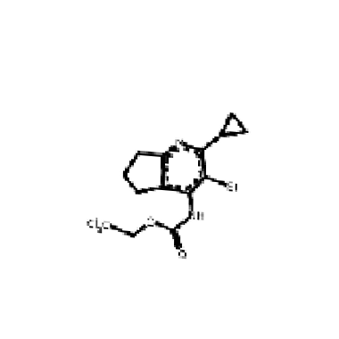 CCc1c(C2CC2)nc2c(c1NC(=O)OCC(Cl)(Cl)Cl)CCC2